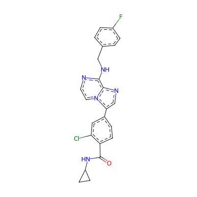 O=C(NC1CC1)c1ccc(-c2cnc3c(NCc4ccc(F)cc4)nccn23)cc1Cl